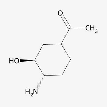 CC(=O)C1CC[C@H](N)[C@@H](O)C1